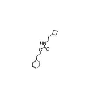 O=C(NCCC1CCC1)OCCc1ccccc1